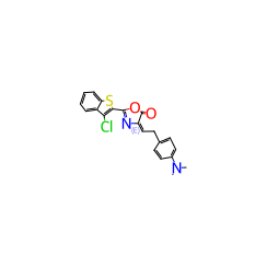 CN(C)c1ccc(C/C=C2/N=C(c3sc4ccccc4c3Cl)OC2=O)cc1